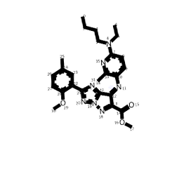 CCCCN(CC)c1ccc(/N=C2/C(C(=O)OC)=Nn3nc(-c4cc(C)ccc4OC)nc32)c(C)n1